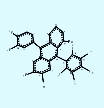 Fc1ccc(-c2c3cc(F)c(F)cc3c(-c3c(F)c(F)c(F)c(F)c3F)c3c(F)cccc23)cc1F